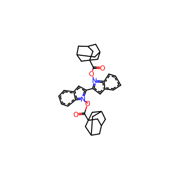 O=C(On1c(-c2cc3ccccc3n2OC(=O)C23CC4CC(CC(C4)C2)C3)cc2ccccc21)C12CC3CC(CC(C3)C1)C2